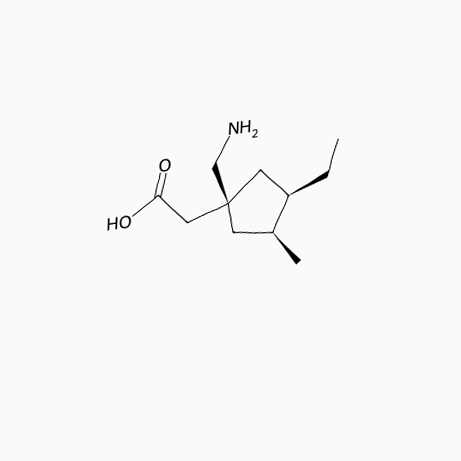 CC[C@@H]1C[C@@](CN)(CC(=O)O)C[C@@H]1C